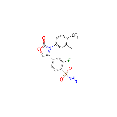 Cc1cc(-n2c(-c3ccc(S(N)(=O)=O)c(F)c3)coc2=O)ccc1C(F)(F)F